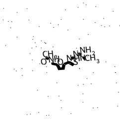 CNC(N)=Nc1nc(-c2ccc(CNC(C)=O)o2)cs1